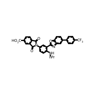 CCCNc1ccc(N2C(=O)c3ccc(C(=O)O)cc3C2=O)cc1-c1nc2cc(-c3ccc(C(F)(F)F)cc3)ccc2o1